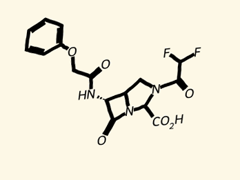 O=C(COc1ccccc1)N[C@H]1C(=O)N2C1CN(C(=O)C(F)F)C2C(=O)O